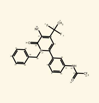 CC(F)(F)c1cc(-c2cccc(NC(=O)C(F)(F)F)c2)n(Cc2ccccc2)c(=O)c1C#N